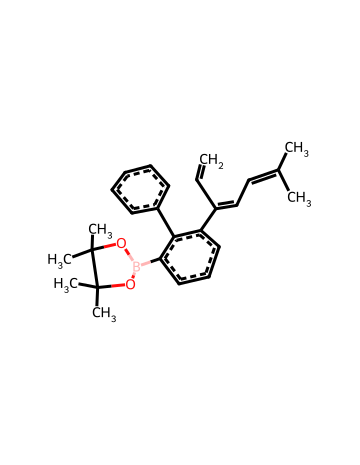 C=C/C(=C\C=C(C)C)c1cccc(B2OC(C)(C)C(C)(C)O2)c1-c1ccccc1